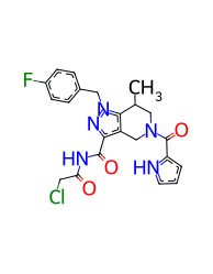 CC1CN(C(=O)c2ccc[nH]2)Cc2c(C(=O)NC(=O)CCl)nn(Cc3ccc(F)cc3)c21